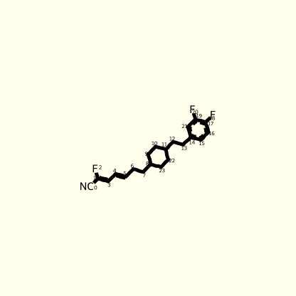 N#CC(F)=CC=CCCC1CCC(CCc2ccc(F)c(F)c2)CC1